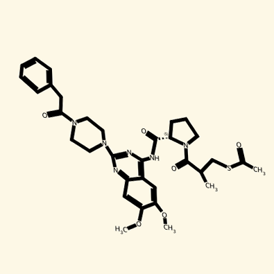 COc1cc2nc(N3CCN(C(=O)Cc4ccccc4)CC3)nc(NC(=O)[C@@H]3CCCN3C(=O)C(C)CSC(C)=O)c2cc1OC